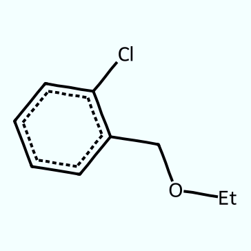 CCOCc1ccccc1Cl